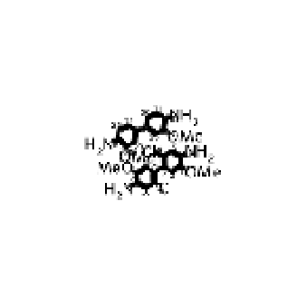 COc1cc(-c2cc(OC)c(N)cc2Cl)c(Cl)cc1N.COc1cc(-c2ccc(N)c(OC)c2)ccc1N